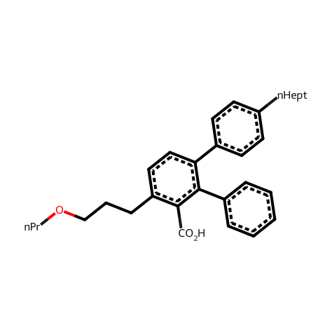 CCCCCCCc1ccc(-c2ccc(CCCOCCC)c(C(=O)O)c2-c2ccccc2)cc1